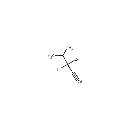 C#CC([O])(F)C(C)C